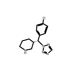 Clc1ccc([C@@H](C2CCCNC2)n2ncnn2)cc1